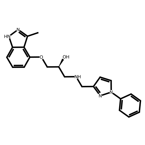 Cc1n[nH]c2cccc(OC[C@@H](O)CNCc3ccn(-c4ccccc4)n3)c12